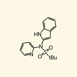 CC(C)(C)S(=O)(=O)N(c1ccccn1)c1cc2ccccc2[nH]1